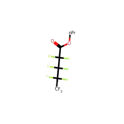 CCCOC(=O)C(F)(F)C(F)(F)C(F)(F)C(F)(F)F